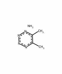 Cc1nnnnc1C.N